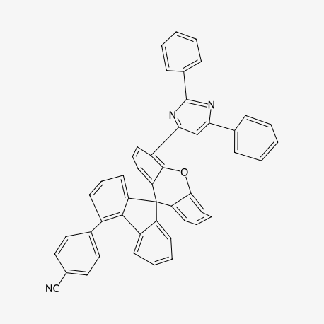 N#Cc1ccc(-c2cccc3c2-c2ccccc2C32c3ccccc3Oc3c(-c4cc(-c5ccccc5)nc(-c5ccccc5)n4)cccc32)cc1